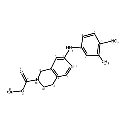 Cc1cc(Nc2cc3c(cn2)CCN(C(=O)OC(C)(C)C)C3)ccc1[N+](=O)[O-]